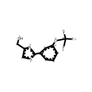 OCc1csc(-c2cccc(OC(F)(F)F)c2)n1